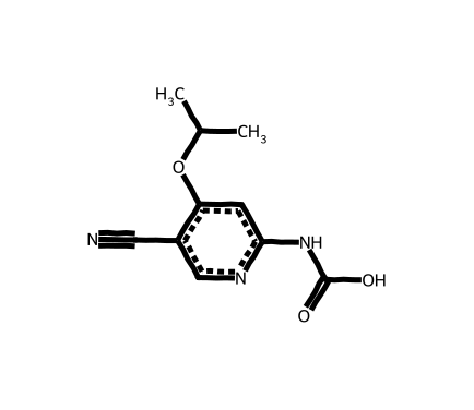 CC(C)Oc1cc(NC(=O)O)ncc1C#N